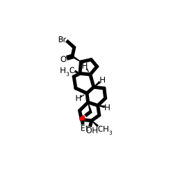 CCOC[C@]12CC[C@@](C)(O)C[C@H]1CC[C@H]1[C@@H]3CC[C@H](C(=O)CBr)[C@@]3(C)CC[C@@H]12